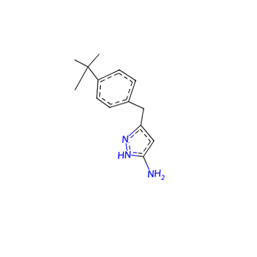 CC(C)(C)c1ccc(Cc2cc(N)[nH]n2)cc1